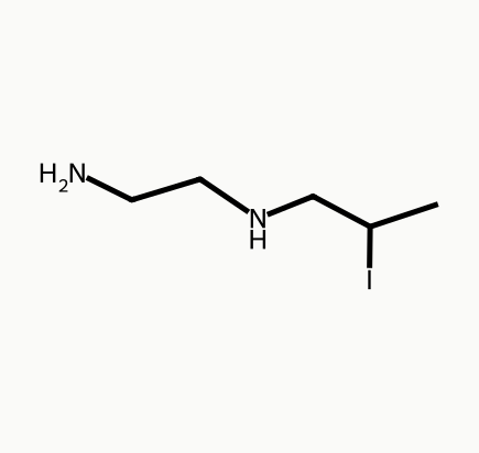 CC(I)CNCCN